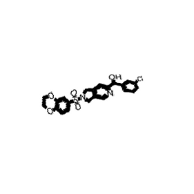 O=S(=O)(c1ccc2c(c1)OCCO2)N1Cc2cnc(C(O)c3cccc(Cl)c3)cc2C1